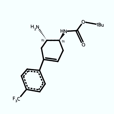 CC(C)(C)OC(=O)N[C@H]1CC=C(c2ccc(C(F)(F)F)cc2)C[C@@H]1N